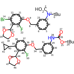 CC(C)(C)N(C(=O)O)c1cccc(COc2ccc(Br)c(C3OCCO3)c2F)c1.CC(C)(C)OC(=O)Nc1cccc(COc2ccc(C3CC3)c(C3OCCO3)c2F)c1